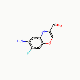 Nc1cc2c(cc1F)OC=C(C=O)N2